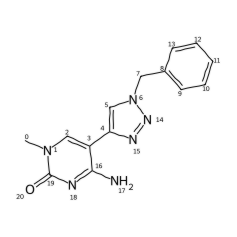 Cn1cc(-c2cn(Cc3ccccc3)nn2)c(N)nc1=O